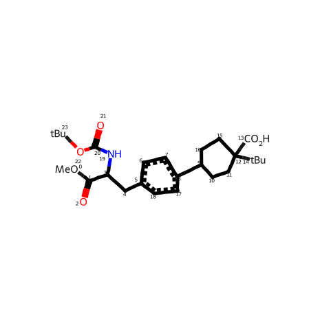 COC(=O)C(Cc1ccc(C2CCC(C(=O)O)(C(C)(C)C)CC2)cc1)NC(=O)OC(C)(C)C